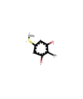 COSc1cc(Br)c(C(C)C)c(Br)c1